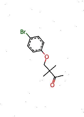 CC(=O)C(C)(C)COc1ccc(Br)cc1